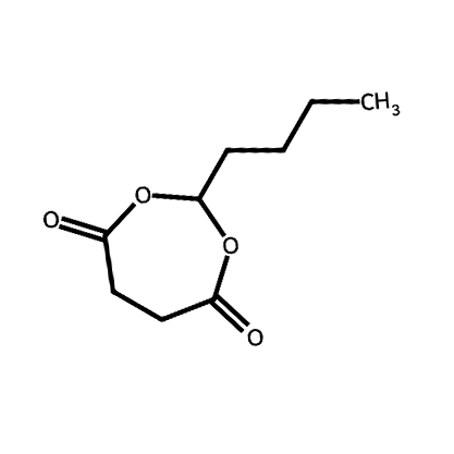 CCCCC1OC(=O)CCC(=O)O1